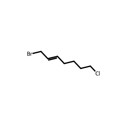 ClCCCCC=CCBr